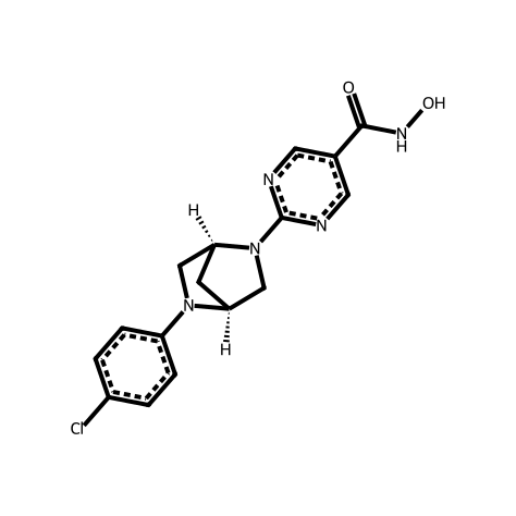 O=C(NO)c1cnc(N2C[C@@H]3C[C@H]2CN3c2ccc(Cl)cc2)nc1